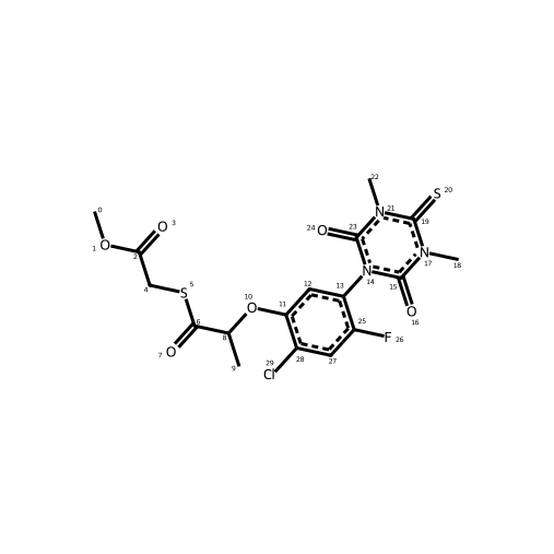 COC(=O)CSC(=O)C(C)Oc1cc(-n2c(=O)n(C)c(=S)n(C)c2=O)c(F)cc1Cl